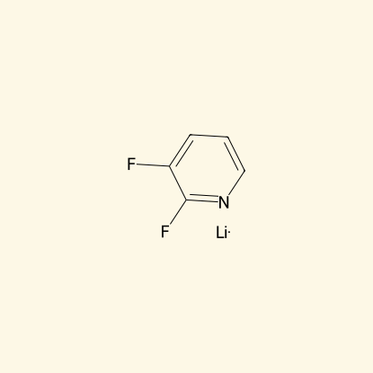 Fc1cccnc1F.[Li]